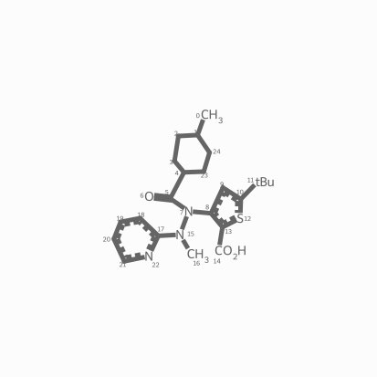 CC1CCC(C(=O)N(c2cc(C(C)(C)C)sc2C(=O)O)N(C)c2ccccn2)CC1